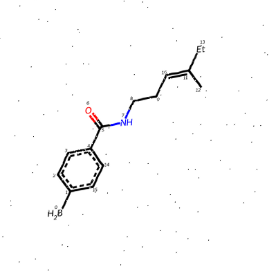 Bc1ccc(C(=O)NCC/C=C(\C)CC)cc1